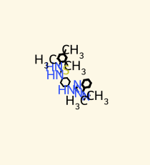 Cc1cc(C)c(NC(=S)N[C@H]2CC[C@@H](Nc3nc(N(C)C)c4ccccc4n3)CC2)c(C)c1